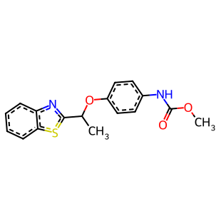 COC(=O)Nc1ccc(OC(C)c2nc3ccccc3s2)cc1